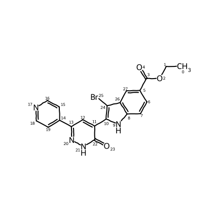 CCOC(=O)c1ccc2[nH]c(-c3cc(-c4ccncc4)n[nH]c3=O)c(Br)c2c1